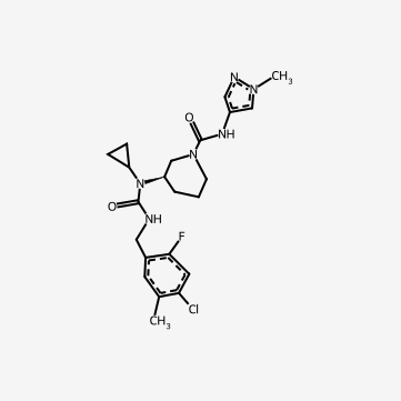 Cc1cc(CNC(=O)N(C2CC2)[C@@H]2CCCN(C(=O)Nc3cnn(C)c3)C2)c(F)cc1Cl